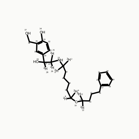 [2H]C([2H])(CCCCC([2H])([2H])OC([2H])([2H])CCCc1ccccc1)NC([2H])([2H])C([2H])(O)c1ccc(O)c(CO)c1